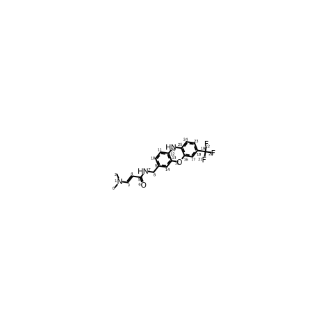 CN(C)C=CC(=O)NCc1ccc2c(c1)Oc1cc(C(F)(F)F)ccc1N2